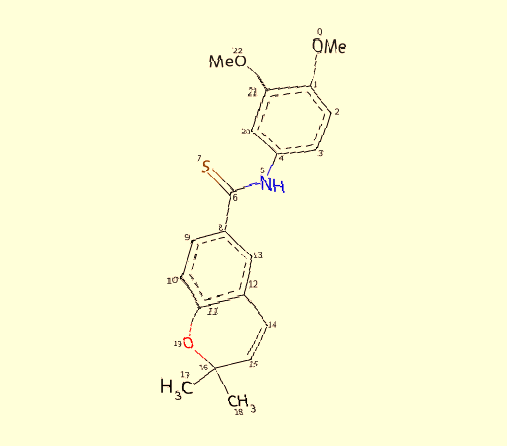 COc1ccc(NC(=S)c2ccc3c(c2)C=CC(C)(C)O3)cc1OC